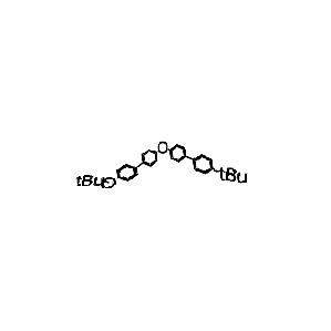 CC(C)(C)Oc1ccc(-c2ccc(Oc3ccc(-c4ccc(C(C)(C)C)cc4)cc3)cc2)cc1